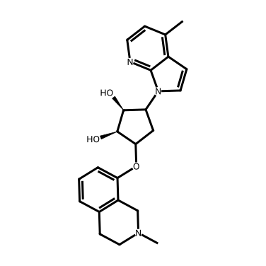 Cc1ccnc2c1ccn2C1CC(Oc2cccc3c2CN(C)CC3)[C@@H](O)[C@H]1O